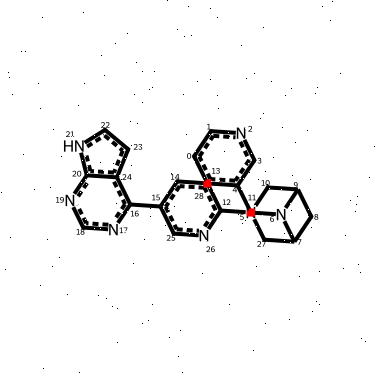 c1cncc(CN2C3CC2CN(c2ccc(-c4ncnc5[nH]ccc45)cn2)C3)c1